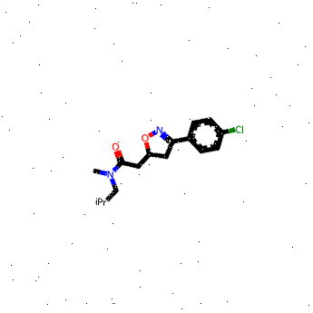 CC(C)CN(C)C(=O)CC1CC(c2ccc(Cl)cc2)=NO1